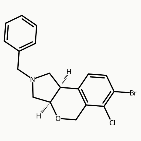 Clc1c(Br)ccc2c1CO[C@H]1CN(Cc3ccccc3)C[C@@H]21